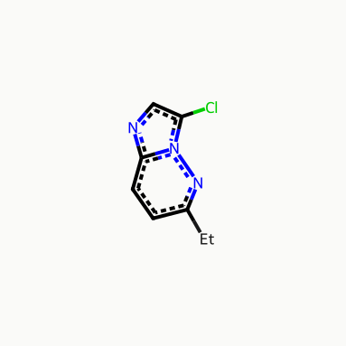 CCc1ccc2ncc(Cl)n2n1